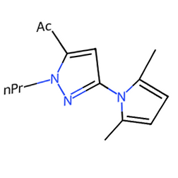 CCCn1nc(-n2c(C)ccc2C)cc1C(C)=O